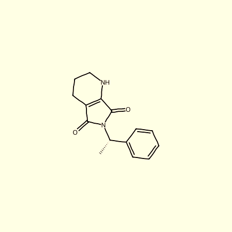 C[C@@H](c1ccccc1)N1C(=O)C2=C(NCCC2)C1=O